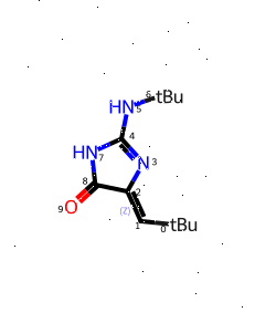 CC(C)(C)/C=C1\N=C(NC(C)(C)C)NC1=O